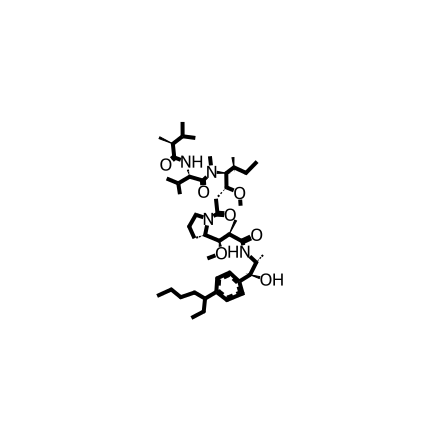 CCCCC(CC)c1ccc([C@H](O)[C@@H](C)NC(=O)[C@H](C)[C@@H](OC)[C@@H]2CCCN2C(=O)C[C@@H](OC)[C@H]([C@@H](C)CC)N(C)C(=O)[C@@H](NC(=O)[C@@H](C)C(C)C)C(C)C)cc1